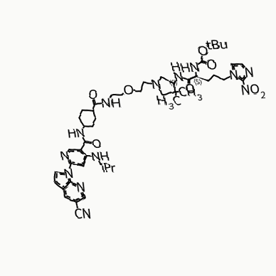 CC(C)Nc1cc(-n2ccc3cc(C#N)cnc32)ncc1C(=O)NC1CCC(C(=O)NCCOCCN2C[C@@H](NC(=O)[C@H](CCCn3ccnc3[N+](=O)[O-])NC(=O)OC(C)(C)C)C(C)(C)C2)CC1